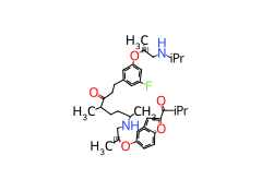 CC(C)NC[C@@H](C)Oc1cc(F)cc(CCC(=O)C(C)CCC(C)NC[C@H](C)Oc2ccc3oc(C(=O)C(C)C)cc3c2)c1